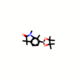 Cc1c(B2OC(C)(C)C(C)(C)O2)ccc2c1N(C)C(=O)C2(C)C